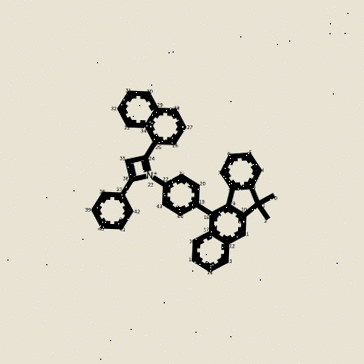 CC1(C)c2ccccc2-c2c1cc1ccccc1c2-c1ccc([N+]2=C(c3cccc4ccccc34)C=C2c2ccccc2)cc1